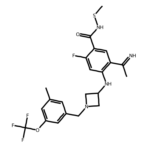 CSNC(=O)c1cc(C(C)=N)c(NC2CN(Cc3cc(C)cc(OC(F)(F)F)c3)C2)cc1F